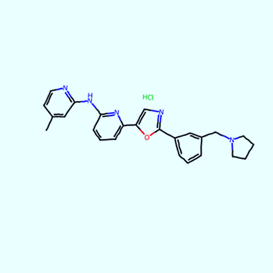 Cc1ccnc(Nc2cccc(-c3cnc(-c4cccc(CN5CCCC5)c4)o3)n2)c1.Cl